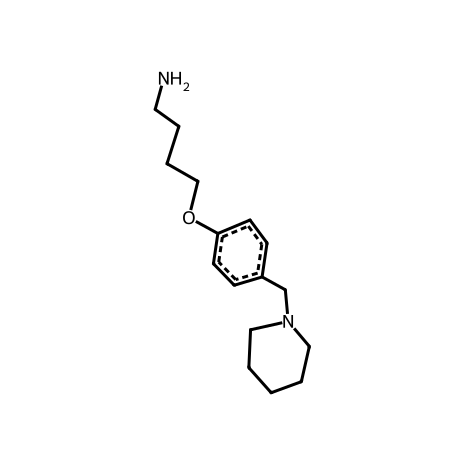 NCCCCOc1ccc(CN2CCCCC2)cc1